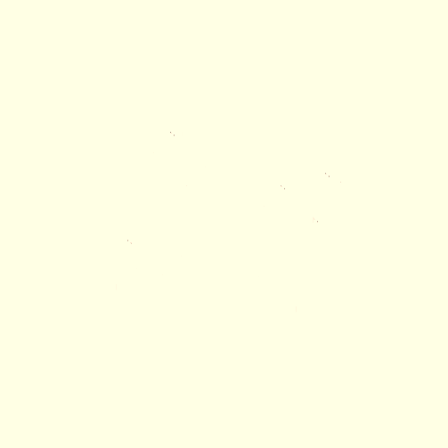 Nc1nc(O[C@@H](c2ccc(-c3ccnc(F)c3)cc2)C(F)(F)F)cc(-c2ccc(CC(N)C(=O)O)cc2)n1